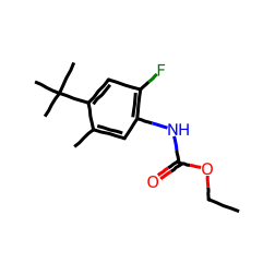 CCOC(=O)Nc1cc(C)c(C(C)(C)C)cc1F